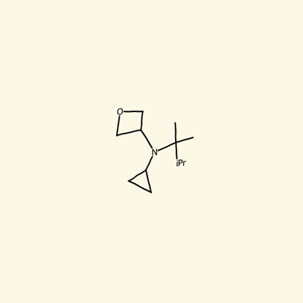 CC(C)C(C)(C)N(C1CC1)C1COC1